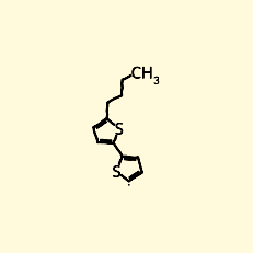 CCCCc1ccc(-c2cc[c]s2)s1